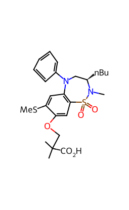 CCCC[C@@H]1CN(c2ccccc2)c2cc(SC)c(OCC(C)(C)C(=O)O)cc2S(=O)(=O)N1C